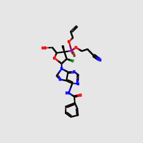 C=CCOP(=S)(OCCC#N)[C@@]1(C)C(CO)OC(n2cnc3c(NC(=O)c4ccccc4)ncnc32)[C@@H]1F